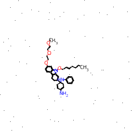 CCCCCCCOn1c2cc(OCCOCCOC)ccc2c2ccc(C3(Nc4ccccc4)C=CC(N)=CC3)cc21